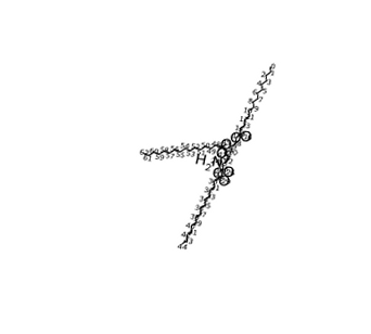 CCCCCCCCCCCCCCCC(=O)OCC(CSC[C@H](N)C(=O)OC(=O)CCCCCCCCCCCCCCC)OC(=O)CCCCCCCCCCCCCCC